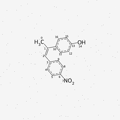 CC(=Cc1ccc([N+](=O)[O-])cc1)c1ccc(O)cc1